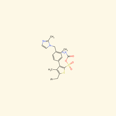 Cc1cc(-c2c(S(=O)(=O)OC(N)=O)sc(CC(C)C)c2C)ccc1Cn1ccnc1C